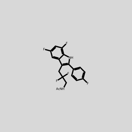 CC(=O)NCC(F)(F)Cc1c(-c2ccc(F)cc2)[nH]c2c(F)cc(F)cc12